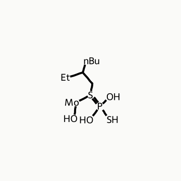 CCCCC(CC)C[S]([Mo][OH])=P(O)(O)S